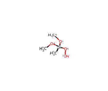 CO[Si](C)(OC)OO